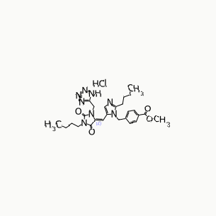 CCCCc1ncc(/C=C2/C(=O)N(CCCC)C(=O)N2Cc2nnn[nH]2)n1Cc1ccc(C(=O)OC)cc1.Cl